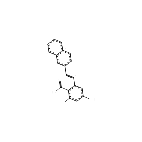 Cc1cc(O)c(C(=O)O)c(/C=C/c2ccc3ccccc3c2)c1